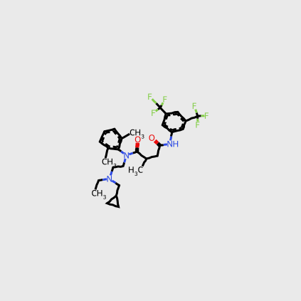 CCN(CCN(C(=O)C(C)CC(=O)Nc1cc(C(F)(F)F)cc(C(F)(F)F)c1)c1c(C)cccc1C)CC1CC1